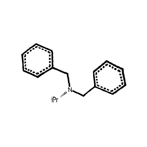 [CH2][C@@H](C)N(Cc1ccccc1)Cc1ccccc1